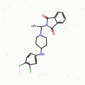 CCCC(N1CCC(Nc2ccc(F)c(F)c2)CC1)N1C(=O)c2ccccc2C1=O